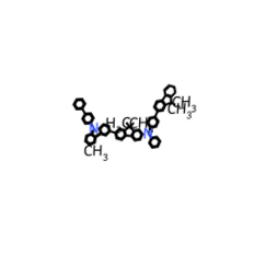 Cc1ccc2c(c1)c1cc(-c3ccc4c(c3)C(C)(C)c3cc(N(c5ccccc5)c5ccc(-c6ccc7c(c6)C(C)(C)C6=C7C=CCC6)cc5)ccc3-4)ccc1n2-c1ccc(-c2ccccc2)cc1